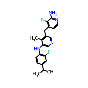 Cc1c(Cc2ccnc(N)c2F)cncc1Nc1ccc(C(C)C)cc1F